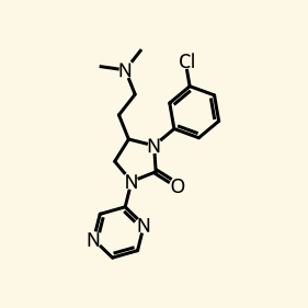 CN(C)CCC1CN(c2cnccn2)C(=O)N1c1cccc(Cl)c1